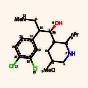 CCCC1NCC(OC)CC1[C@H](O)C(CNC)c1ccc(Cl)c(Cl)c1